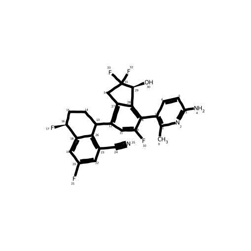 Cc1nc(N)ccc1-c1c(F)cc(C2CC[C@H](F)c3cc(F)cc(C#N)c32)c2c1[C@H](O)C(F)(F)C2